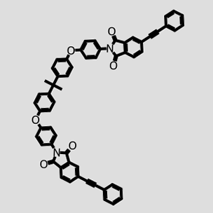 CC(C)(c1ccc(Oc2ccc(N3C(=O)c4ccc(C#Cc5ccccc5)cc4C3=O)cc2)cc1)c1ccc(Oc2ccc(N3C(=O)c4ccc(C#Cc5ccccc5)cc4C3=O)cc2)cc1